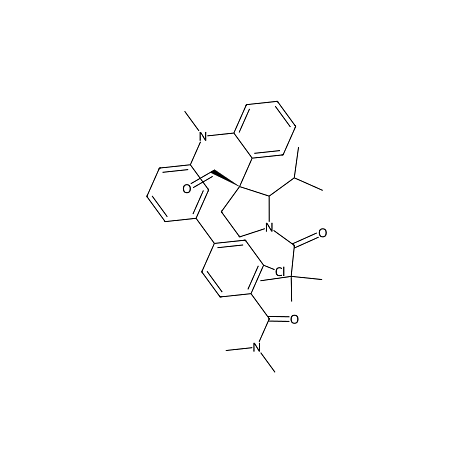 CC(C)C1N(C(=O)C(C)(C)C)CC[C@]1(C=O)c1ccccc1N(C)c1cccc(-c2ccc(C(=O)N(C)C)c(Cl)c2)c1